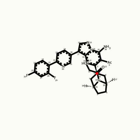 CC(=O)c1c([C@H]2C[C@H]3CC[C@@H](C2)N3C(=O)CO)nc2c(-c3ccc(-c4ccc(F)cc4F)nc3)cnn2c1N